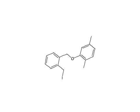 Cc1ccc(C)c(OCc2ccccc2CI)c1